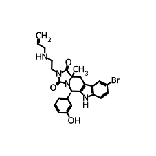 C=CCNCCN1C(=O)N2[C@H](c3cccc(O)c3)c3[nH]c4ccc(Br)cc4c3C[C@@]2(C)C1=O